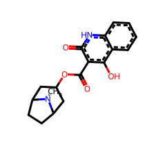 CN1C2CCC1CC(OC(=O)c1c(O)c3ccccc3[nH]c1=O)C2